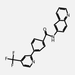 O=C(Nc1ccc2ncccc2c1)c1ccc(-c2cc(C(F)(F)F)ccn2)cc1